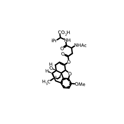 COc1ccc2c3c1OC1C(OC(=O)CC(NC(C)=O)C(=O)NC(C(=O)O)C(C)C)=CC[C@@]4(O)[C@@H](C2)N(C)CC[C@]314